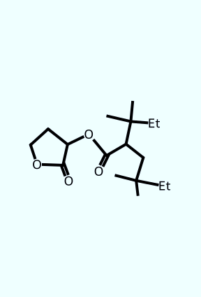 CCC(C)(C)CC(C(=O)OC1CCOC1=O)C(C)(C)CC